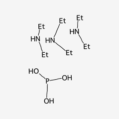 CCNCC.CCNCC.CCNCC.OP(O)O